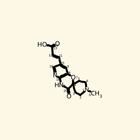 CN1CCC2(CC1)Oc1cc(/C=C/C(=O)O)cnc1NC2=O